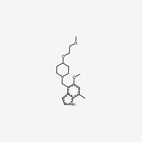 COCCOC1CCN(Cc2c(OC)cc(C)c3[nH]ccc23)CC1